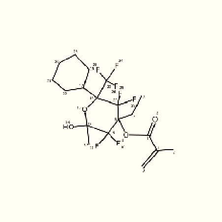 C=C(C)C(=O)OC1(CC)C(F)(F)C(C)(O)OC(C2CCCCC2)(C(F)(F)F)C1(F)F